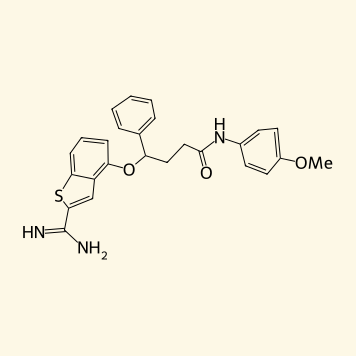 COc1ccc(NC(=O)CCC(Oc2cccc3sc(C(=N)N)cc23)c2ccccc2)cc1